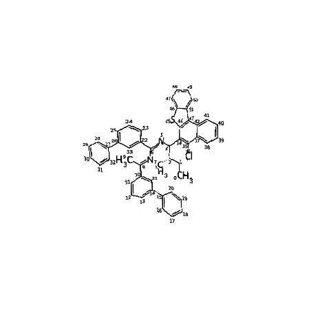 CC[C@H](C)C(/N=C(\N=C(/C)c1cccc(-c2ccccc2)c1)c1cccc(-c2ccccc2)c1)c1c(Cl)c2ccccc2c2c1sc1ccccc12